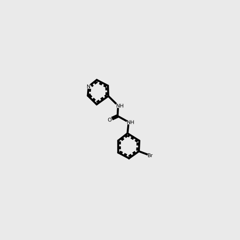 O=C(Nc1ccncc1)Nc1cc[c]c(Br)c1